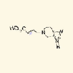 O=C(O)/C=C/CN1CCc2nc[nH]c2C1